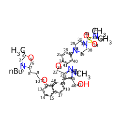 C[CH]CCN1CC(C)OCC1CCCOc1cccc2ccc(-c3c(COc4ccc(N5CCN(S(=O)(=O)N(C)C)CC5)cc4)nn(C)c3CO)cc12